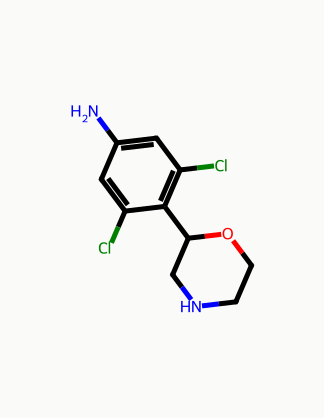 Nc1cc(Cl)c(C2CNCCO2)c(Cl)c1